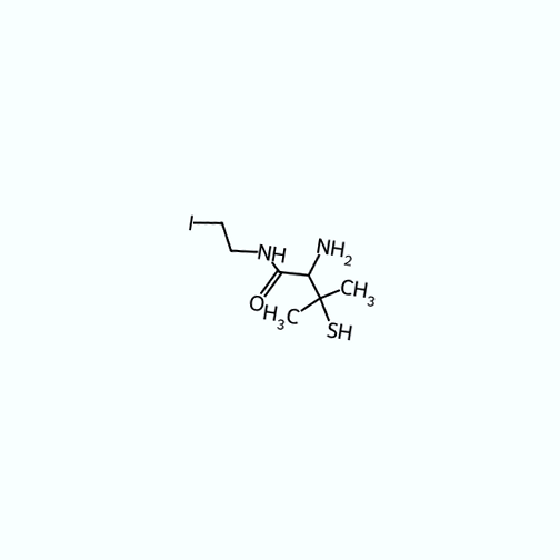 CC(C)(S)C(N)C(=O)NCCI